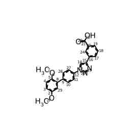 COc1ccc(OC)c(-c2ccc(-n3cc(-c4cccc(C(=O)O)c4)nn3)cc2)c1